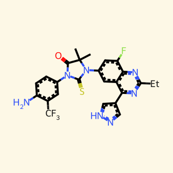 CCc1nc(-c2cn[nH]c2)c2cc(N3C(=S)N(c4ccc(N)c(C(F)(F)F)c4)C(=O)C3(C)C)cc(F)c2n1